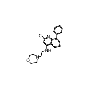 Clc1cc(NCCN2CCOCC2)c2cccc(-c3ccccc3)c2n1